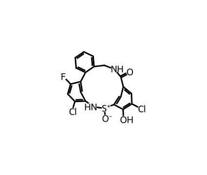 O=C1NCc2ccccc2-c2cc(c(Cl)cc2F)N[S+]([O-])c2cc1cc(Cl)c2O